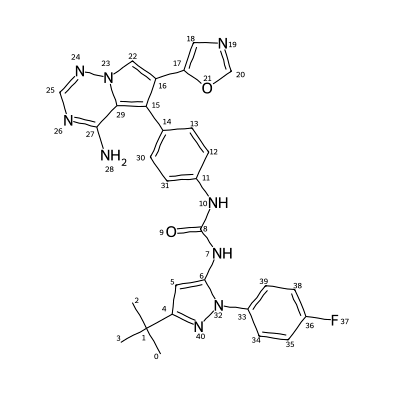 CC(C)(C)c1cc(NC(=O)Nc2ccc(-c3c(-c4cnco4)cn4ncnc(N)c34)cc2)n(-c2ccc(F)cc2)n1